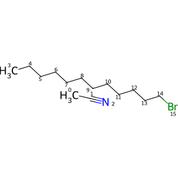 CC#N.CCCCCCCCCCCCBr